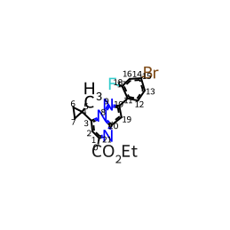 CCOC(=O)c1cc(C2(C)CC2)n2nc(-c3ccc(Br)cc3F)cc2n1